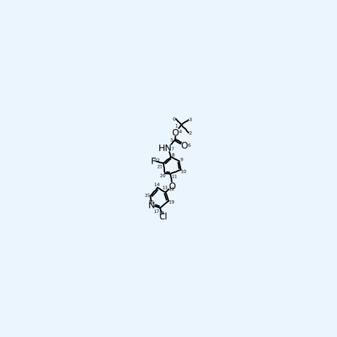 CC(C)(C)OC(=O)Nc1ccc(Oc2ccnc(Cl)c2)cc1F